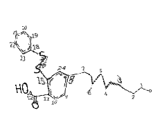 CCCCCCCCc1ccc(C(=O)O)c(SSc2ccccc2)c1